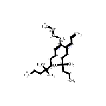 C=C/C=C(CCC(C)(C)CCC)\C(=C/CCCC(C)(C)CCC)[SiH2]OPC